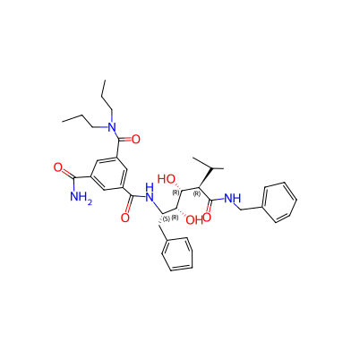 CCCN(CCC)C(=O)c1cc(C(N)=O)cc(C(=O)N[C@@H](Cc2ccccc2)[C@@H](O)[C@H](O)[C@H](C(=O)NCc2ccccc2)C(C)C)c1